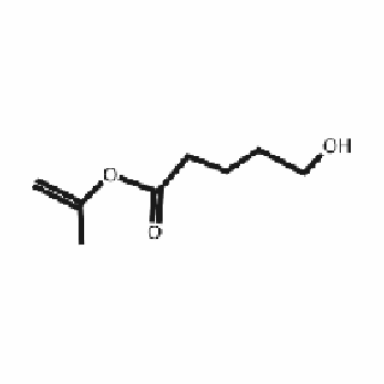 C=C(C)OC(=O)CCCCO